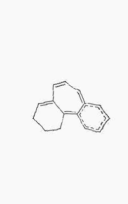 C1=CC2=CCCCC2=c2ccccc2=C1